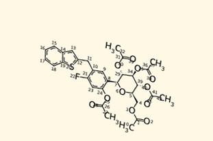 CC(=O)OC[C@H]1O[C@@H](c2cc(Cc3cc4ccccc4s3)c(F)cc2OC(C)=O)[C@H](OC(C)=O)[C@@H](OC(C)=O)[C@@H]1OC(C)=O